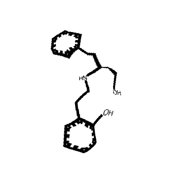 OC[C@H](Cc1ccccc1)NCCc1ccccc1O